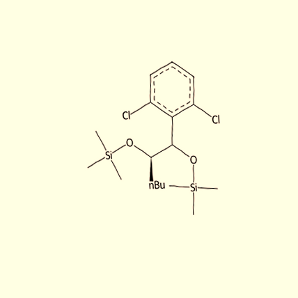 CCCC[C@@H](O[Si](C)(C)C)C(O[Si](C)(C)C)c1c(Cl)cccc1Cl